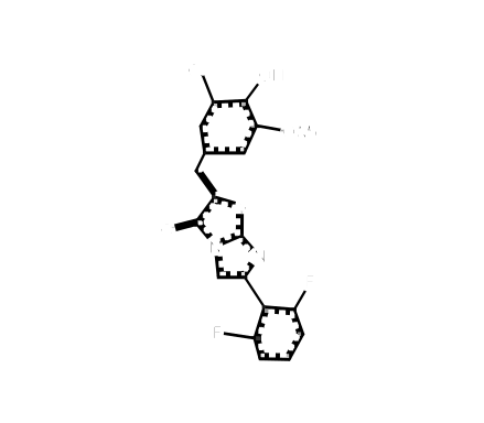 COc1cc(/C=c2\sc3nc(-c4c(F)cccc4F)cn3c2=O)cc(Cl)c1O